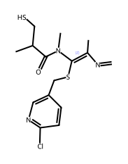 C=N/C(C)=C(\SCc1ccc(Cl)nc1)N(C)C(=O)C(C)CS